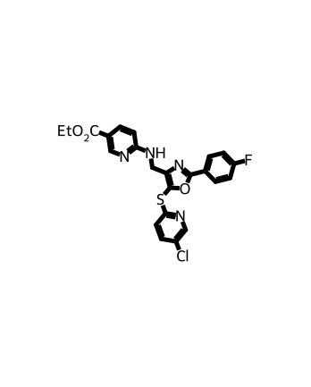 CCOC(=O)c1ccc(NCc2nc(-c3ccc(F)cc3)oc2Sc2ccc(Cl)cn2)nc1